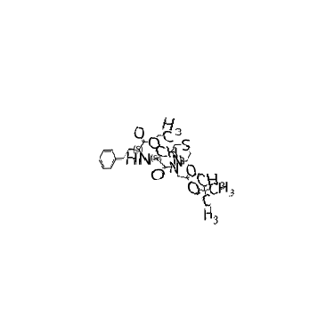 CCOC(=O)[C@H](CCc1ccccc1)N[C@@H](C)C(=O)N(CC(=O)OC(C)(C)C)N1CCSCC1